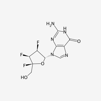 Nc1nc2c(ncn2[C@@H]2O[C@](F)(CO)[C@@H](F)[C@H]2F)c(=O)[nH]1